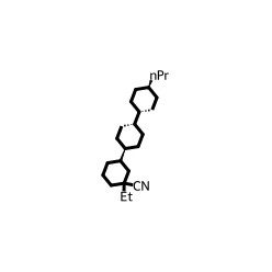 CCC[C@H]1CC[C@H]([C@H]2CC[C@H](C3CCCC(C#N)(CC)C3)CC2)CC1